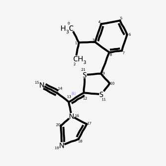 CC(C)c1ccccc1C1CS/C(=C(/C#N)n2ccnc2)S1